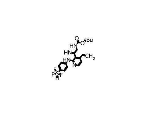 C=Cc1ccnc(Nc2ccc([SH](F)(F)(F)F)cc2)c1C(=N)CNC(=O)OC(C)(C)C